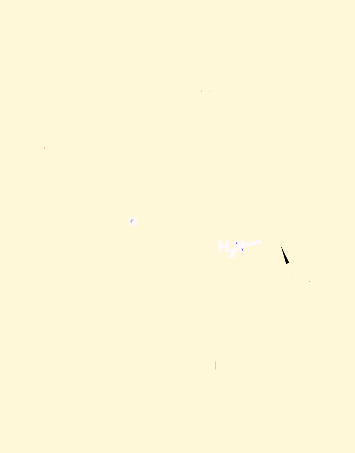 N[C@@H](Cc1ccc(O)cc1)C(=O)O.Oc1ccc(/C=C/c2cc(O)cc(O)c2)cc1